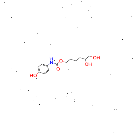 O=C(Nc1ccc(O)cc1)OCCCCC(O)CO